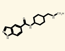 O=C(O)NCC1CCC(NC(=O)c2ccc3[nH]ncc3c2)CC1